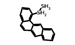 [SiH3][SiH2]c1cccc2ccc3cc4ccccc4cc3c12